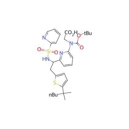 CCCCC(C)(C)c1ccc(CC(NS(=O)(=O)c2ccccn2)c2cccc(N(CC(=O)O)C(=O)OC(C)(C)C)n2)s1